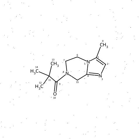 Cc1cnc2n1CCN(C(=O)C(C)(C)C)C2